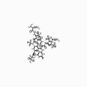 CC(C)[C@H](N)C(=O)OCN(c1nn(CC(F)(F)F)c2c(-c3ccc(C#CC(C)(C)S(C)(=O)=O)nc3[C@H](Cc3cc(F)cc(F)c3)NC(=O)Cn3nc(C(F)(F)F)c4c3C(F)(F)C[C@@H]4N)ccc(Cl)c12)S(C)(=O)=O